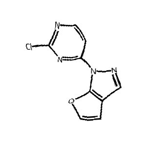 Clc1nccc(-n2ncc3ccoc32)n1